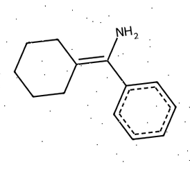 NC(=C1CCCCC1)c1ccccc1